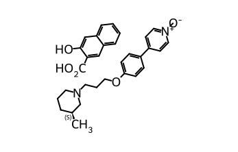 C[C@H]1CCCN(CCCOc2ccc(-c3cc[n+]([O-])cc3)cc2)C1.O=C(O)c1cc2ccccc2cc1O